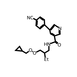 CCC(CNC(=O)c1cncc(-c2ccc(C#N)cc2)c1)COOCC1CC1